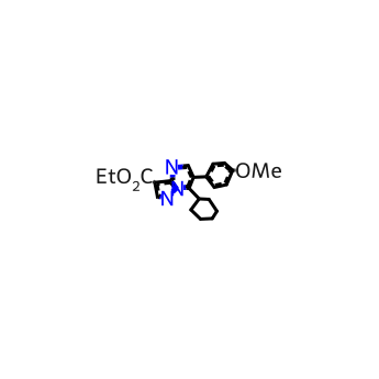 CCOC(=O)c1cnn2c(C3CCCCC3)c(-c3ccc(OC)cc3)cnc12